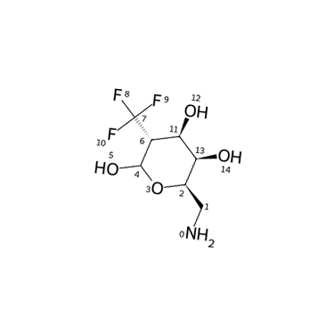 NC[C@H]1OC(O)[C@H](C(F)(F)F)[C@@H](O)[C@H]1O